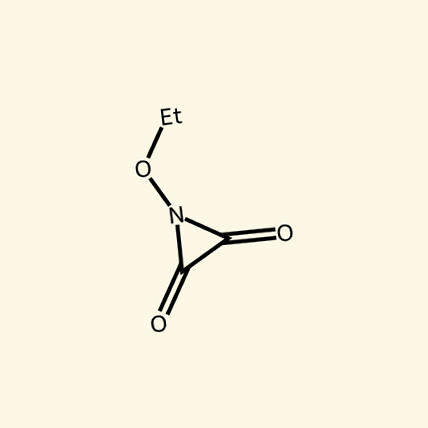 CCOn1c(=O)c1=O